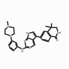 CN1CCN(c2cccc(Nc3ncc4c(-c5ccc6c(c5)C(C)(C)CNC6=O)c[nH]c4n3)c2)CC1